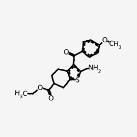 CCOC(=O)C1CCc2c(sc(N)c2C(=O)c2ccc(OC)cc2)C1